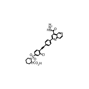 NNC(=O)c1cc(-c2ccc(C#Cc3ccc(S(=O)(=O)N4CCCC[C@@H]4C(=O)O)cc3Cl)cc2)nc2ccncc12